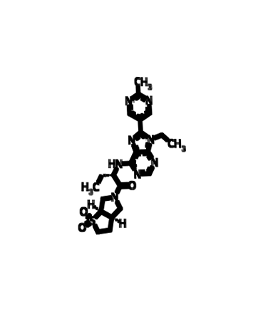 CC[C@H](Nc1ncnc2c1nc(-c1cnc(C)nc1)n2CC)C(=O)N1C[C@H]2CCS(=O)(=O)[C@H]2C1